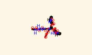 COCCOCCOCCN(CCCC(=O)NCC(=O)NCC(=O)NCC(=O)NCCC(C)=O)c1cc(COc2cc3c(cc2OC)C(=O)N2c4ccccc4C[C@H]2C=N3)cc(COc2cc3c(cc2OC)C(=O)N2c4ccccc4C[C@H]2CN3)c1